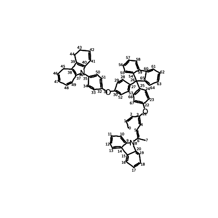 C\C=C/C(=C\C=C(/C)n1c2ccccc2c2ccccc21)Oc1ccc(C2(c3ccc(Oc4ccc(-n5c6c(c7c5C=CCC7)CC=CC=C6)cc4)cc3)c3ccccc3-c3ccccc32)cc1